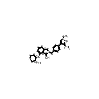 Cc1nn(C)cc1-c1ccc(CN2Cc3cccc(O[C@@H]4CCOC[C@H]4O)c3C2O)cc1